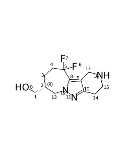 OC[C@@H]1CCC(F)(F)c2c3c(nn2C1)CCNC3